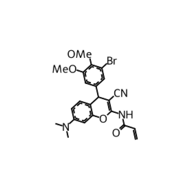 C=CC(=O)NC1=C(C#N)C(c2cc(Br)c(OC)c(OC)c2)c2ccc(N(C)C)cc2O1